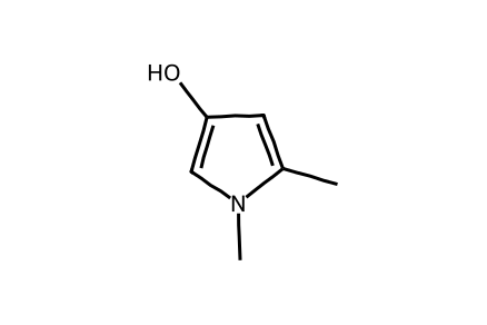 Cc1cc(O)cn1C